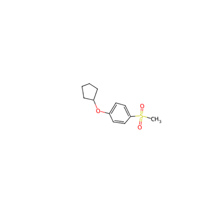 CS(=O)(=O)c1ccc(OC2CCCC2)cc1